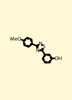 COc1ccc(-c2nsc(-c3cccc(O)c3)n2)cc1